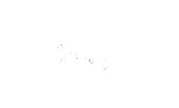 CC(C)COC(=O)OOOOC(=O)OCC(C)C